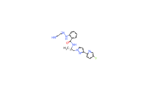 C[C@@H](Cn1ccc(-c2ccc(F)cn2)n1)NC(=O)c1ccccc1N/N=C\C=N